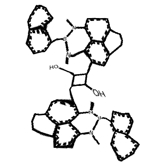 CN1B(c2cccc3ccccc23)N(C)c2c(C3C(O)C(c4cc5c6c(ccc7c6c4N(C)B(c4cccc6ccccc46)N7C)CC5)C3O)cc3c4c(ccc1c24)CC3